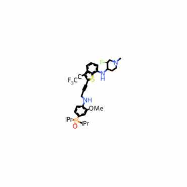 COc1cc(P(=O)(C(C)C)C(C)C)ccc1NCC#Cc1sc2c(NC3CCN(C)C[C@@H]3F)cccc2c1CC(F)(F)F